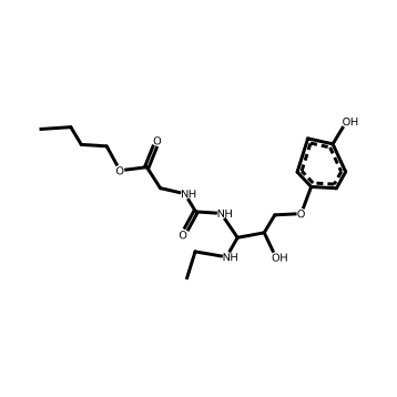 CCCCOC(=O)CNC(=O)NC(NCC)C(O)COc1ccc(O)cc1